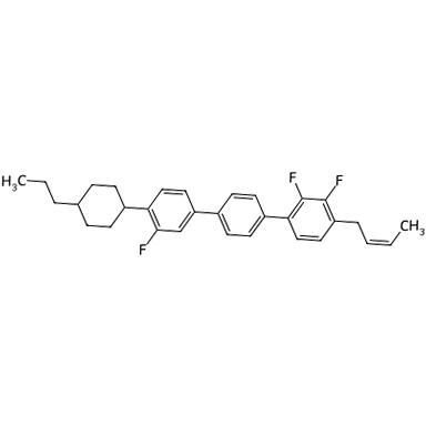 C/C=C\Cc1ccc(-c2ccc(-c3ccc(C4CCC(CCC)CC4)c(F)c3)cc2)c(F)c1F